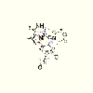 C=C(N)c1c(C)nc(C(C)C(/C=C(Cl)\C(F)=C\C=O)=C(\CC(C)C)N2CCOCC2)n1/C=C\C